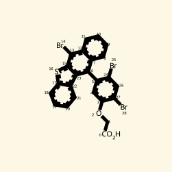 O=C(O)COc1cc(-c2c3ccccc3c(Br)c3sc4ccccc4c23)c(Br)cc1Br